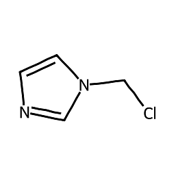 ClCn1ccnc1